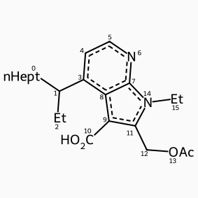 CCCCCCCC(CC)c1ccnc2c1c(C(=O)O)c(COC(C)=O)n2CC